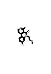 COCCn1c(=O)c2c(C)nccc2c2ccc(Cl)cc21